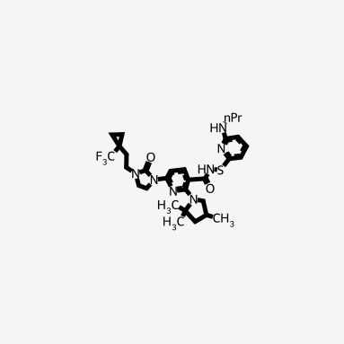 CCCNc1cccc(SNC(=O)c2ccc(N3CCN(CCC4(C(F)(F)F)CC4)C3=O)nc2N2CC(C)CC2(C)C)n1